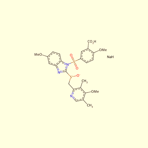 COc1ccc2c(c1)nc([S+]([O-])Cc1ncc(C)c(OC)c1C)n2S(=O)(=O)c1ccc(OC)c(C(=O)O)c1.[NaH]